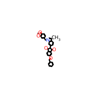 Cc1cn(Cc2ccc3c(c2)OCO3)c2cc(C3C(=O)c4ccc(OCc5ccccc5)cc4C3=O)ccc12